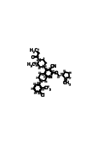 C=CC(=O)N1CCN(c2c(C#N)c(OC[C@@H]3CCCN3C)nc3c2CCN(c2cccc(Cl)c2C(F)(F)F)C3)C[C@@H]1C